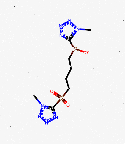 Cn1nnnc1[S+]([O-])CCCCS(=O)(=O)c1nnnn1C